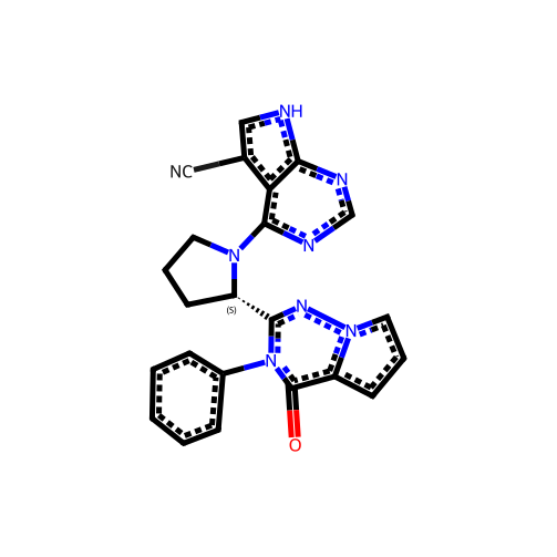 N#Cc1c[nH]c2ncnc(N3CCC[C@H]3c3nn4cccc4c(=O)n3-c3ccccc3)c12